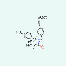 CCCCCCCCC#Cc1ccc(CN(C(=O)C(=O)O)C(C)(CCC)c2ccc(C(F)(F)F)cc2)cc1